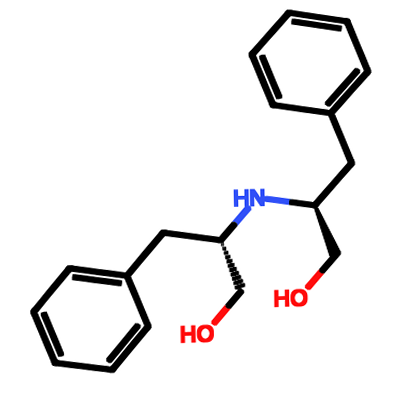 OC[C@H](Cc1ccccc1)N[C@H](CO)Cc1ccccc1